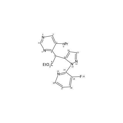 CCCc1cncnc1C(C(=O)OCC)c1ccnn1-c1ncccc1F